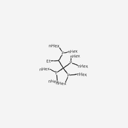 CCCCCCP(CCCCCC)C(CC)C(P(CCCCCC)CCCCCC)(P(CCCCCC)CCCCCC)P(CCCCCC)CCCCCC